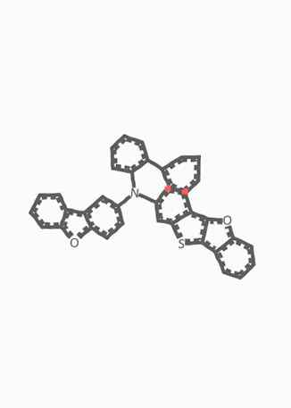 c1ccc(-c2ccccc2N(c2ccc3c(c2)sc2c4ccccc4oc32)c2ccc3oc4ccccc4c3c2)cc1